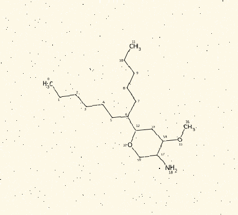 CCCCCCC(CCCCC)C1CC(OC)C(N)CO1